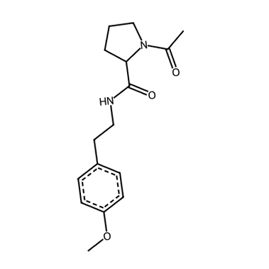 COc1ccc(CCNC(=O)C2CCCN2C(C)=O)cc1